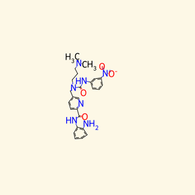 CN(C)CCCN(Cc1ccc(C(=O)Nc2ccccc2N)nc1)C(=O)Nc1cccc([N+](=O)[O-])c1